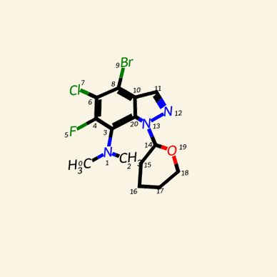 CN(C)c1c(F)c(Cl)c(Br)c2cnn(C3CCCCO3)c12